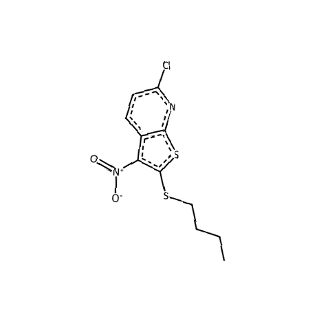 CCCCSc1sc2nc(Cl)ccc2c1[N+](=O)[O-]